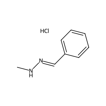 CNN=Cc1ccccc1.Cl